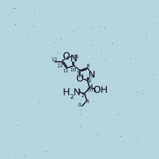 CCC(N)[C@H](O)c1ncc(-c2cc(C)on2)o1